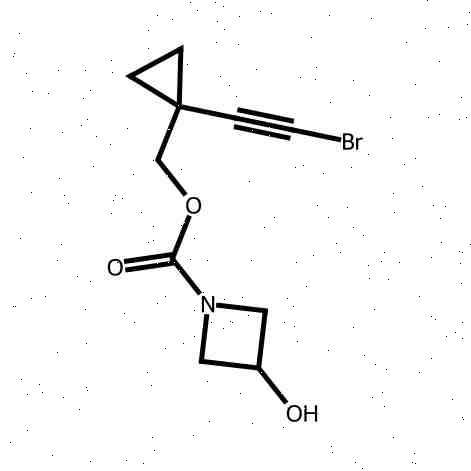 O=C(OCC1(C#CBr)CC1)N1CC(O)C1